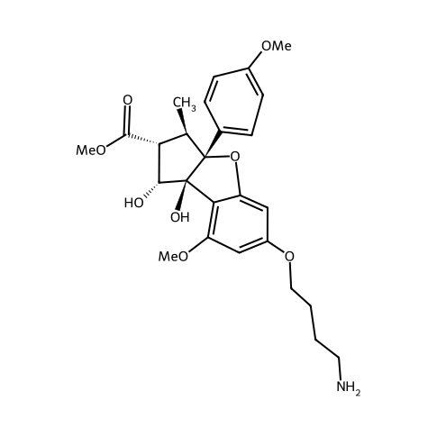 COC(=O)[C@H]1[C@@H](O)[C@@]2(O)c3c(OC)cc(OCCCCN)cc3O[C@@]2(c2ccc(OC)cc2)[C@@H]1C